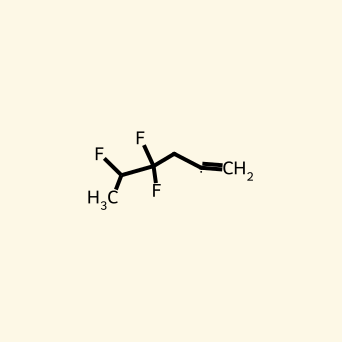 C=[C]CC(F)(F)C(C)F